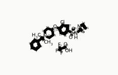 CC(C)(c1ccccc1)N1CCC(Oc2ccc(S(=O)(=O)Nc3nccs3)cc2Cl)CC1.O=C(O)C(F)(F)F